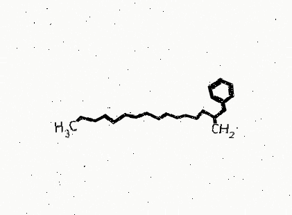 [CH2]C(CCCCCCCCCCCCCC)Cc1ccccc1